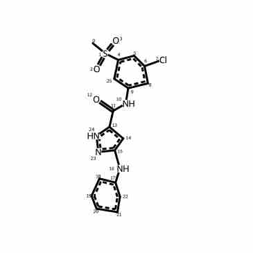 CS(=O)(=O)c1cc(Cl)cc(NC(=O)c2cc(Nc3ccccc3)n[nH]2)c1